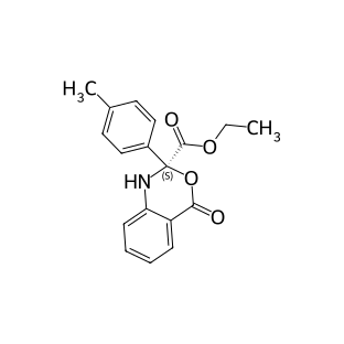 CCOC(=O)[C@@]1(c2ccc(C)cc2)Nc2ccccc2C(=O)O1